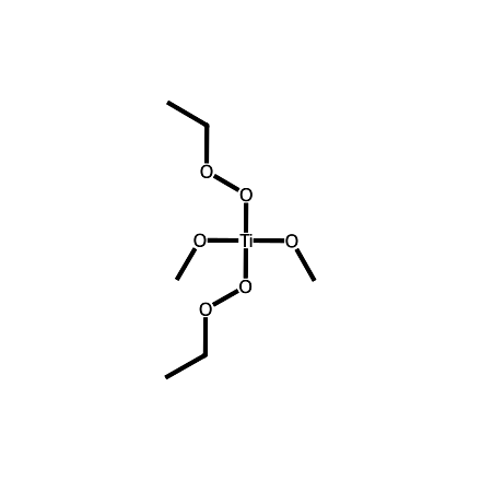 CCO[O][Ti]([O]C)([O]C)[O]OCC